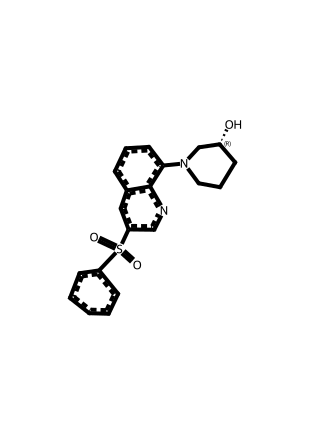 O=S(=O)(c1ccccc1)c1cnc2c(N3CCC[C@@H](O)C3)cccc2c1